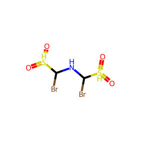 O=[SH](=O)C(Br)NC(Br)[SH](=O)=O